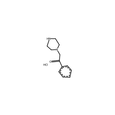 Cl.O=C(CN1CCNCC1)c1ccccc1